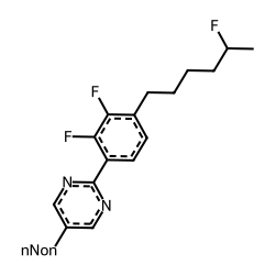 CCCCCCCCCc1cnc(-c2ccc(CCCCC(C)F)c(F)c2F)nc1